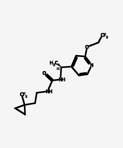 C[C@@H](NC(=O)NCCC1(C(F)(F)F)CC1)c1ccnc(OCC(F)(F)F)c1